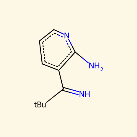 CC(C)(C)C(=N)c1cccnc1N